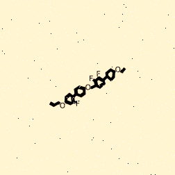 C=CCOc1ccc(-c2ccc(OCc3ccc(C4CCC(OCC)CC4)c(F)c3F)cc2)c(F)c1